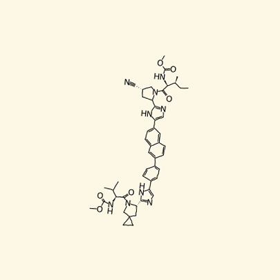 CC[C@H](C)[C@H](NC(=O)OC)C(=O)N1C[C@@H](C#N)CC1c1ncc(-c2ccc3cc(-c4ccc(-c5cnc([C@@H]6CC7(CC7)CN6C(=O)[C@@H](NC(=O)OC)C(C)C)[nH]5)cc4)ccc3c2)[nH]1